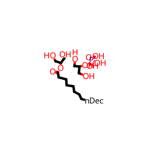 CCCCCCCCCCCCCCCCCC(=O)OC(CO)CO.O=P(O)(O)O.OCC(O)CO